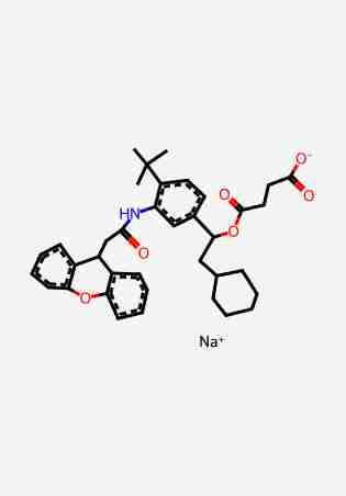 CC(C)(C)c1ccc(C(CC2CCCCC2)OC(=O)CCC(=O)[O-])cc1NC(=O)CC1c2ccccc2Oc2ccccc21.[Na+]